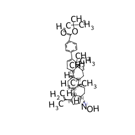 C=C(C)[C@@H]1CC[C@]2(/C=N/O)CC[C@]3(C)[C@H](CC[C@@H]4[C@@]5(C)CC=C(c6ccc(C(=O)OC(C)(C)C)cc6)C(C)(C)[C@@H]5CC[C@]43C)[C@@H]12